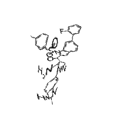 Cc1ccc(S(=O)(=O)n2c(C(=O)c3cnn(-c4ccc5[nH]c(C)nc5c4)c3N)cc3ccc(-c4ccccc4F)cc32)cc1